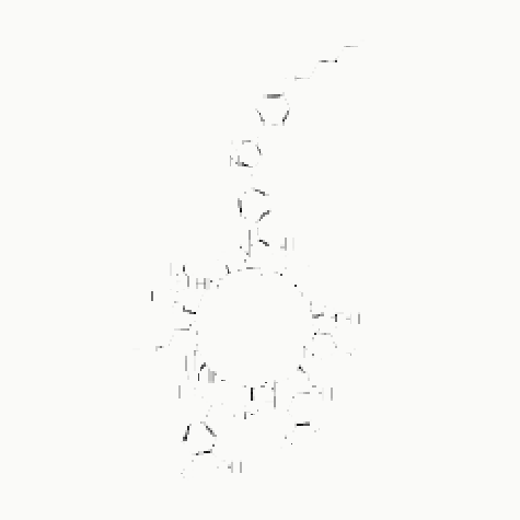 CCCCCOc1ccc(-c2cc(-c3ccc(C(=O)N[C@H]4C[C@@H](O)[C@@H](O)NC(=O)[C@@H]5[C@@H](O)[C@@H](C)CN5C(=O)[C@H](C(O)CC(N)=O)NC(=O)[C@H](C(O)C(O)c5ccc(O)c(O)c5)NC(=O)[C@@H]5C[C@@H](O)CN5C(=O)[C@H](C(C)O)NC4=O)cc3)no2)cc1